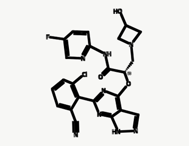 N#Cc1cccc(Cl)c1-c1nc(O[C@@H](CN2CC(O)C2)C(=O)Nc2ccc(F)cn2)c2cn[nH]c2n1